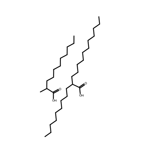 CCCCCCCCCC(C)C(=O)O.CCCCCCCCCCCC(CCCCCCCCC)C(=O)O